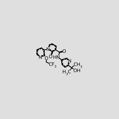 CC(C)(O)c1ccc(NC(=O)c2cccn(-c3cccnc3OCC(F)(F)F)c2=O)cn1